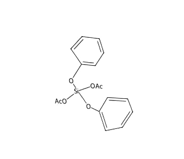 CC(=O)O[Si](OC(C)=O)(Oc1ccccc1)Oc1ccccc1